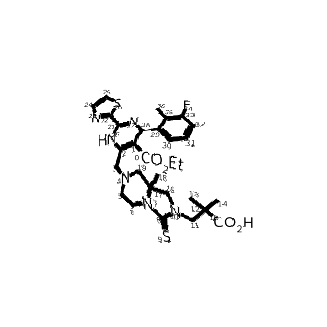 CCOC(=O)C1=C(CN2CCN3C(=S)N(CC(C)(C)C(=O)O)CC3(C)C2)NC(c2nccs2)=N[C@H]1c1cccc(F)c1C